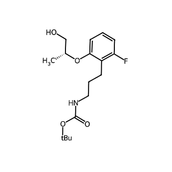 C[C@H](CO)Oc1cccc(F)c1CCCNC(=O)OC(C)(C)C